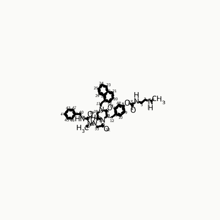 CNCCNC(=O)Oc1ccc(C[C@H]2C(=O)N(Cc3cccc4ccccc34)C[C@H]3N2C(=O)CN3N(C)C(=O)NCc2ccccc2)cc1